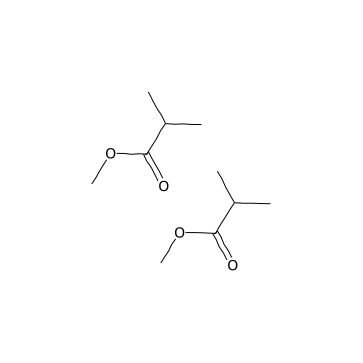 COC(=O)C(C)C.COC(=O)C(C)C